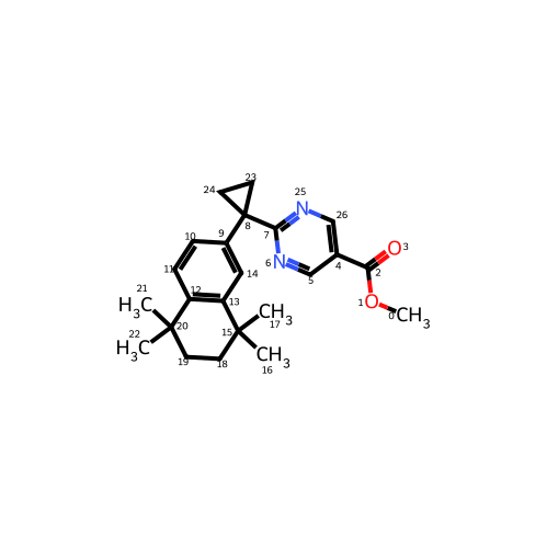 COC(=O)c1cnc(C2(c3ccc4c(c3)C(C)(C)CCC4(C)C)CC2)nc1